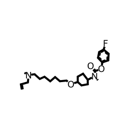 C=CCN(C)CCCCCCCOC1CCC(N(C)C(=O)Oc2ccc(F)cc2)CC1